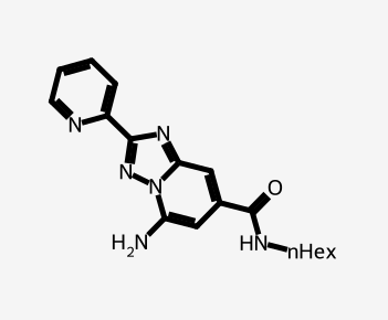 CCCCCCNC(=O)c1cc(N)n2nc(-c3ccccn3)nc2c1